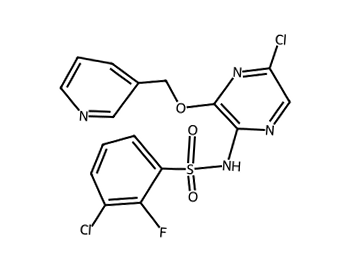 O=S(=O)(Nc1ncc(Cl)nc1OCc1cccnc1)c1cccc(Cl)c1F